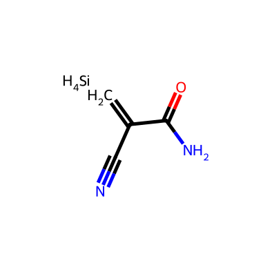 C=C(C#N)C(N)=O.[SiH4]